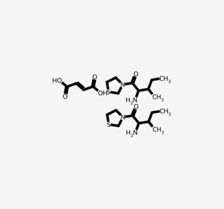 CCC(C)C(N)C(=O)N1CCSC1.CCC(C)C(N)C(=O)N1CCSC1.O=C(O)/C=C/C(=O)O